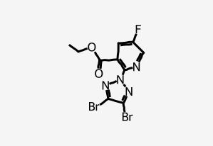 CCOC(=O)c1cc(F)cnc1-n1nc(Br)c(Br)n1